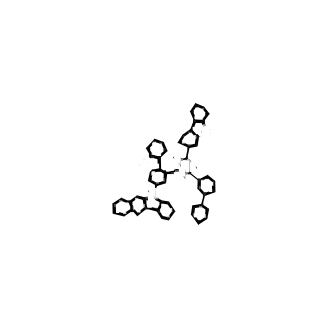 c1ccc(-c2cccc(C3N=C(c4ccc5c(c4)oc4ccccc45)N=C(c4cc(-n5c6ccccc6c6cc7ccccc7cc65)cc5oc6ccccc6c45)N3)c2)cc1